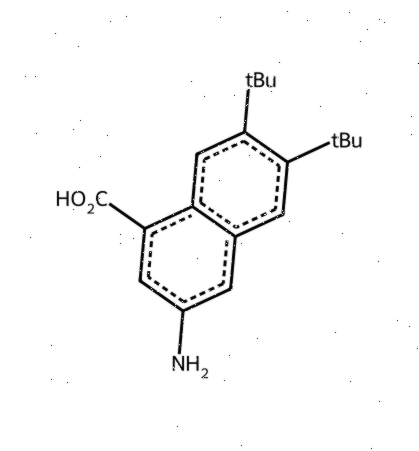 CC(C)(C)c1cc2cc(N)cc(C(=O)O)c2cc1C(C)(C)C